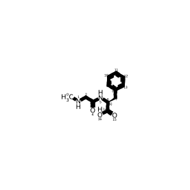 CNCC(=O)N[C@@H](Cc1ccccc1)C(=O)O